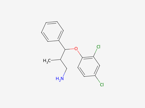 CC(CN)C(Oc1ccc(Cl)cc1Cl)c1ccccc1